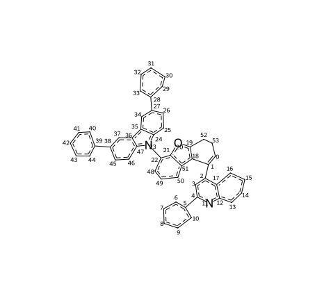 C1=C(c2cc(-c3ccccc3)nc3ccccc23)c2c(oc3c(-n4c5ccc(-c6ccccc6)cc5c5cc(-c6ccccc6)ccc54)cccc23)CC1